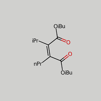 CCC/C(C(=O)OCC(C)C)=C(/C(=O)OCC(C)C)C(C)C